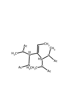 CC=C([SiH](N(C)C(C)=O)N(C)C(C)=O)[SiH](N(C)C(C)=O)N(C)C(C)=O